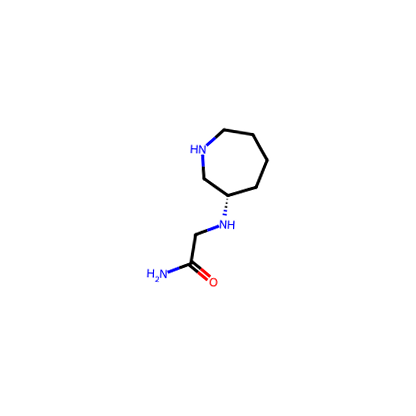 NC(=O)CN[C@H]1CCCCNC1